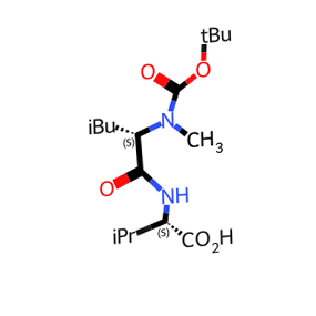 CCC(C)[C@@H](C(=O)N[C@H](C(=O)O)C(C)C)N(C)C(=O)OC(C)(C)C